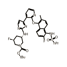 CCCS(=O)(=O)Nc1c(F)ccc2c(Oc3ncccc3-c3ccnc(N[C@H]4C[C@H](F)CN(C(=O)OC(C)(C)C)C4)n3)c(C)ccc12